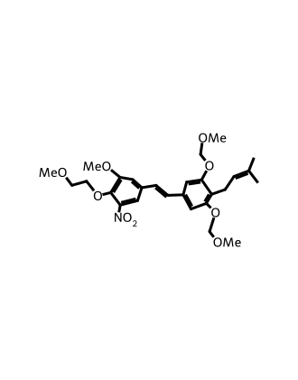 COCCOc1c(OC)cc(C=Cc2cc(OCOC)c(CC=C(C)C)c(OCOC)c2)cc1[N+](=O)[O-]